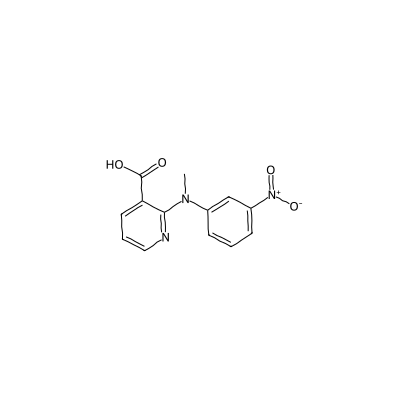 CN(c1cccc([N+](=O)[O-])c1)c1ncccc1C(=O)O